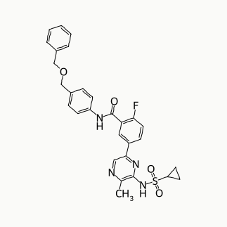 Cc1ncc(-c2ccc(F)c(C(=O)Nc3ccc(COCc4ccccc4)cc3)c2)nc1NS(=O)(=O)C1CC1